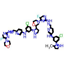 CC1CCNN1c1cc(Cl)cc(Nc2ccc(/C=N/Nc3ncc(F)c(N4CCOC(C5CCNN5c5cc(Cl)cc(Nc6ccc(/C=N/Nc7ncc(F)c(N8CCOCC8)n7)nc6)c5)C4)n3)nc2)c1